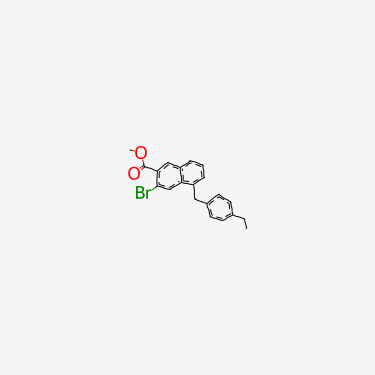 CCc1ccc(Cc2cccc3cc(C(=O)OC)c(Br)cc23)cc1